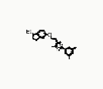 CC[C@@H]1CCc2cc(OCCc3nc(-c4cc(C)cc(C)c4)sc3C)ccc21